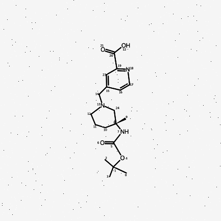 CC(C)(C)OC(=O)N[C@]1(C)CCCN(Cc2ccnc(C(=O)O)c2)C1